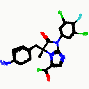 C[C@@]1(Cc2ccc(N)cc2)C(=O)N(c2cc(Cl)c(F)c(Cl)c2)c2ncc(C(=O)Cl)n21